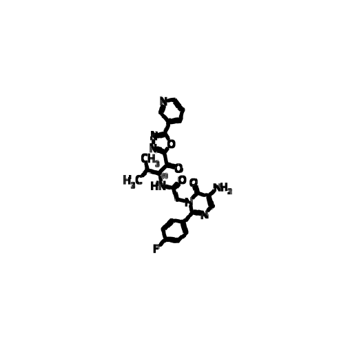 CC(C)[C@H](NC(=O)Cn1c(-c2ccc(F)cc2)ncc(N)c1=O)C(=O)c1nnc(-c2cccnc2)o1